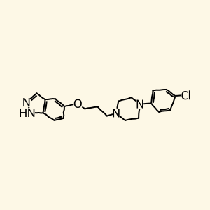 Clc1ccc(N2CCN(CCCOc3ccc4[nH]ncc4c3)CC2)cc1